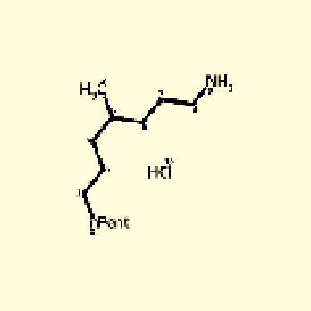 CCCCCCCCC(C)CCCN.Cl